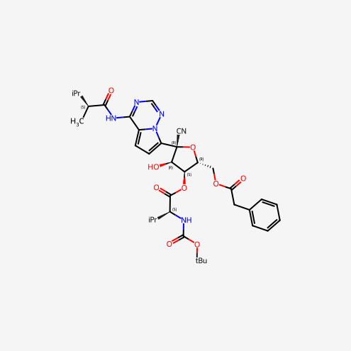 CC(C)[C@H](C)C(=O)Nc1ncnn2c([C@]3(C#N)O[C@H](COC(=O)Cc4ccccc4)[C@@H](OC(=O)[C@@H](NC(=O)OC(C)(C)C)C(C)C)[C@H]3O)ccc12